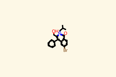 CC(C)Cn1c(CO)c(-c2ccccc2)c2cc(Br)ccc2c1=O